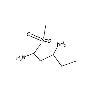 CCC(N)CC(N)S(C)(=O)=O